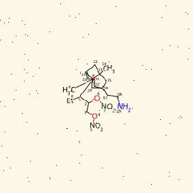 CCC(C(CO[N+](=O)[O-])O[N+](=O)[O-])C1(C)C=C2CC3(C)CC(CCN)(CC23)C1